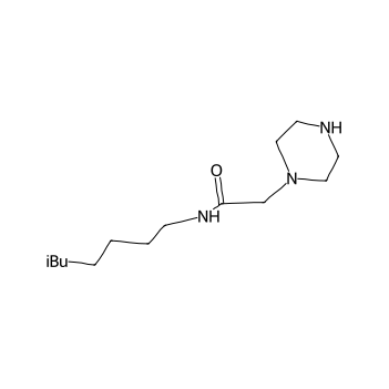 CCC(C)CCCCNC(=O)CN1CCNCC1